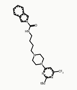 CC(C)(C)c1nc(N2CCN(CCCCNC(=O)n3cc4ccccc4c3)CC2)cc(C(F)(F)F)n1